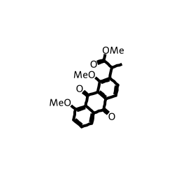 COC(=O)C(C)c1ccc2c(c1OC)C(=O)c1c(OC)cccc1C2=O